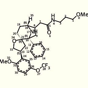 COCCCNC(=O)CC1C[C@]2(c3ccccc3)N[C@@H]1CC[C@@]21C[C@@H](c2cc(OC(F)(F)F)ccc2OC)CO1